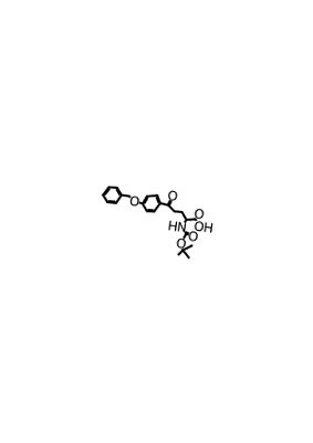 CC(C)(C)OC(=O)NC(CCC(=O)c1ccc(OCc2ccccc2)cc1)C(=O)O